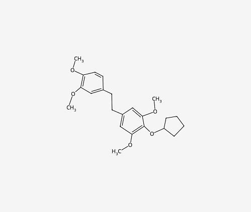 COc1ccc(CCc2cc(OC)c(OC3CCCC3)c(OC)c2)cc1OC